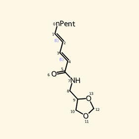 CCCCC/C=C/C=C/C(=O)NCC1COCO1